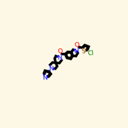 O=C(c1ccc2c(c1)CN(C(=O)c1ccc(Cl)s1)CC2)N1CCC2(CC1)CCN(c1ccncc1)CC2